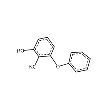 N#Cc1c(O)cccc1Oc1ccccc1